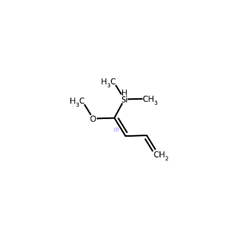 C=C/C=C(/OC)[SiH](C)C